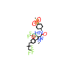 CCn1nc(C(=O)NCC2CCC(S(C)(=O)=O)CC2)c(Cl)c1-c1ccc(CC(C)(C)CC(F)(F)F)cc1OC(F)F